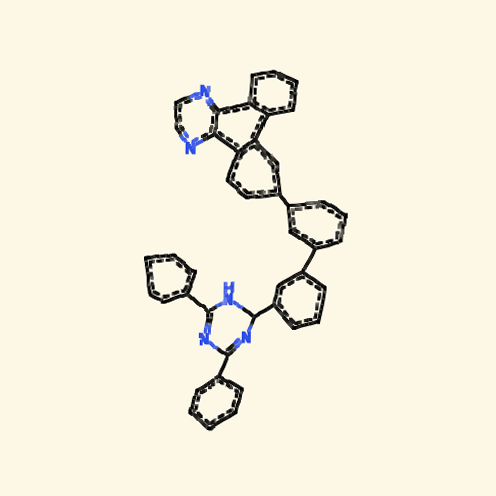 c1ccc(C2=NC(c3cccc(-c4cccc(-c5ccc6c(c5)c5ccccc5c5nccnc65)c4)c3)NC(c3ccccc3)=N2)cc1